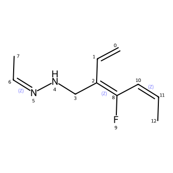 C=C/C(CN/N=C\C)=C(F)\C=C/C